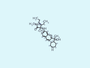 CC/C=C(\CC)C(C)(Nc1cc2nc(C(C)(O)C3CCNCC3)ccc2cn1)C(=O)NC